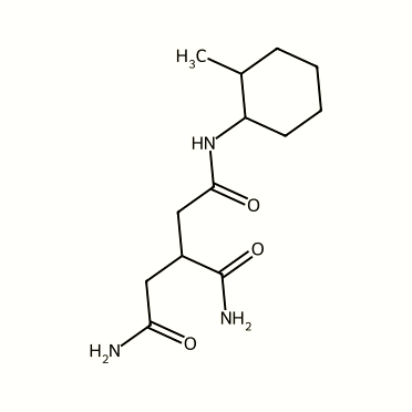 CC1CCCCC1NC(=O)CC(CC(N)=O)C(N)=O